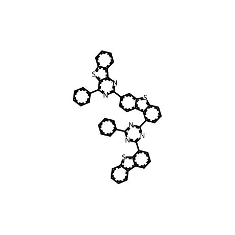 c1ccc(-c2nc(-c3cccc4c3sc3ccccc34)nc(-c3cccc4sc5cc(-c6nc(-c7ccccc7)c7sc8ccccc8c7n6)ccc5c34)n2)cc1